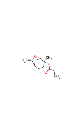 C=CC(=O)OC1(C)CCC2CC1OC2=C